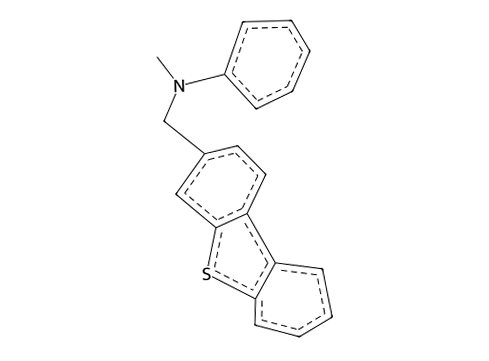 CN(Cc1ccc2c(c1)sc1ccccc12)c1ccccc1